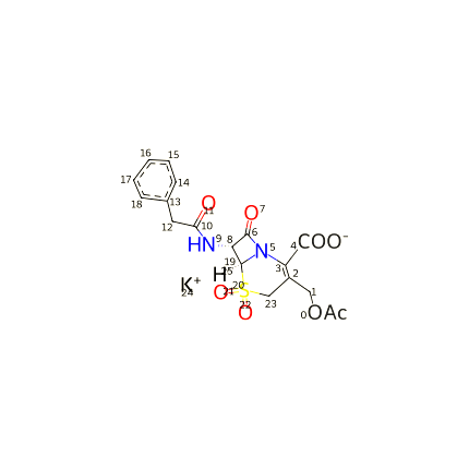 CC(=O)OCC1=C(C(=O)[O-])N2C(=O)[C@@H](NC(=O)Cc3ccccc3)[C@@H]2S(=O)(=O)C1.[K+]